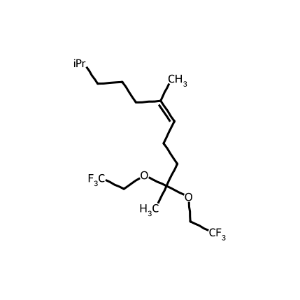 CC(=CCCC(C)(OCC(F)(F)F)OCC(F)(F)F)CCCC(C)C